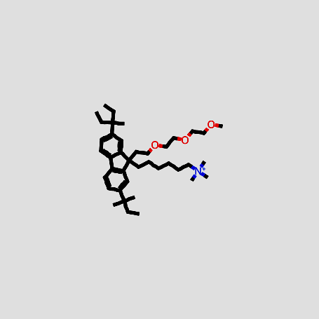 CCC(C)(C)c1ccc2c(c1)C(CCCCCC[N+](C)(C)C)(CCOCCOCCOC)c1cc(C(C)(CC)CC)ccc1-2